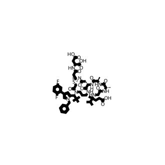 CC(C)C(C)(CCC(=O)O)NCC(=O)N[C@@H](C)C(=O)N[C@H](C)C(=O)N[C@@H](CC(N)=O)C(=O)NCCCN(C(=O)CSCCC(=O)NC(CC(=O)O)C(=O)O)[C@@H](c1cc(-c2cc(F)ccc2F)cn1Cc1ccccc1)C(C)(C)C